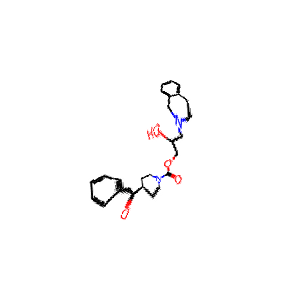 O=C(c1ccccc1)C1CCN(C(=O)OCC(O)CN2CCc3ccccc3C2)CC1